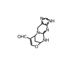 O=CC1=COC2CC1N1Cc3nc[nH]c3N=C1N2